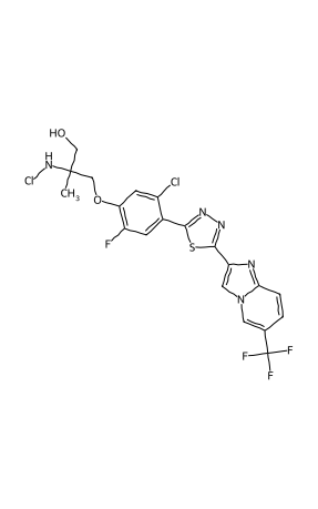 CC(CO)(COc1cc(Cl)c(-c2nnc(-c3cn4cc(C(F)(F)F)ccc4n3)s2)cc1F)NCl